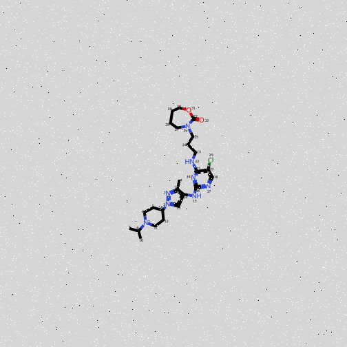 Cc1nn(C2CCN(C(C)C)CC2)cc1Nc1ncc(Cl)c(NCCCN2CCCCOC2=O)n1